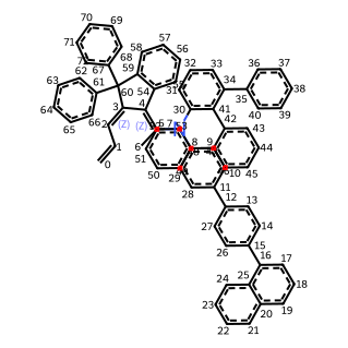 C=C/C=C1\C(=C(/C)N(c2ccc(-c3ccc(-c4cccc5ccccc45)cc3)cc2)c2cccc(-c3ccccc3)c2-c2ccccc2-c2ccccc2)c2ccccc2C1(c1ccccc1)c1ccccc1